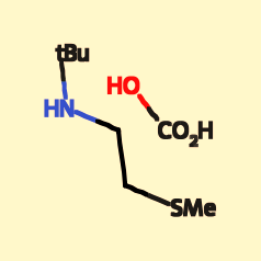 CSCCNC(C)(C)C.O=C(O)O